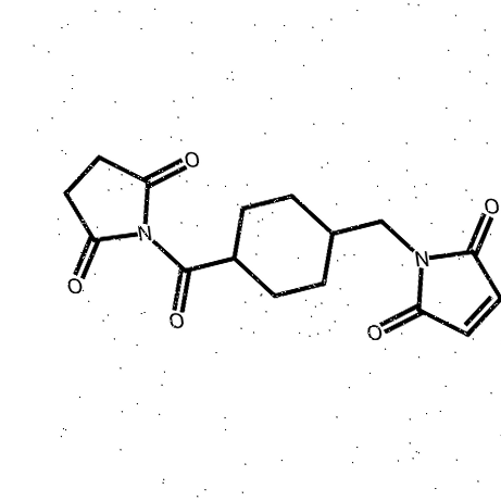 O=C1C=CC(=O)N1CC1CCC(C(=O)N2C(=O)CCC2=O)CC1